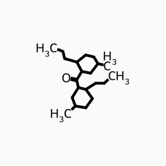 CCCC1CCC(C)CC1C(=O)C1CC(C)CCC1CCC